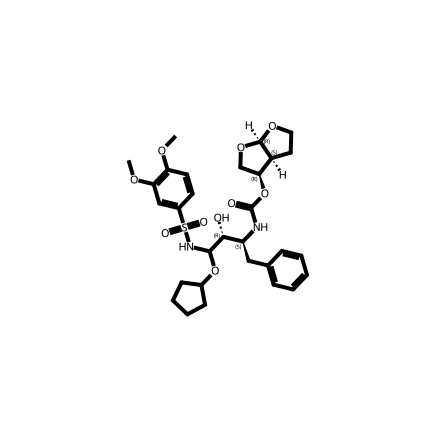 COc1ccc(S(=O)(=O)NC(OC2CCCC2)[C@H](O)[C@H](Cc2ccccc2)NC(=O)O[C@H]2CO[C@H]3OCC[C@H]32)cc1OC